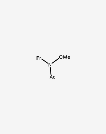 [CH2]C(=O)N(OC)C(C)C